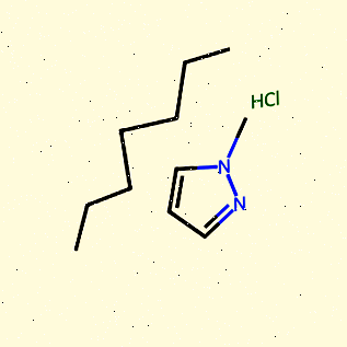 CCCCCCC.Cl.Cn1cccn1